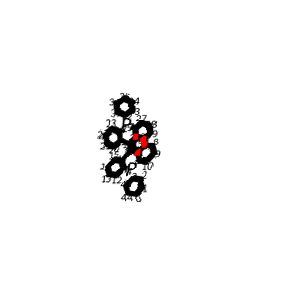 c1ccc(P(c2ccccc2)c2ccccc2C2=C(c3ccccc3P(c3ccccc3)c3ccccc3)C3CCC2C3)cc1